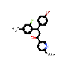 COc1ccc(C(=O)CC(c2ccc(Br)cc2)c2ccc(C)cc2F)cn1